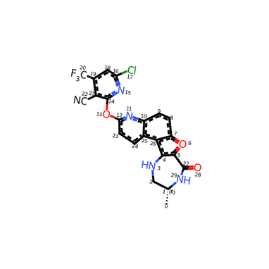 C[C@@H]1CNc2c(oc3ccc4nc(Oc5nc(Cl)cc(C(F)(F)F)c5C#N)ccc4c23)C(=O)N1